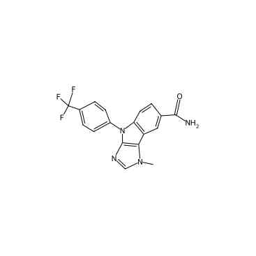 Cn1cnc2c1c1cc(C(N)=O)ccc1n2-c1ccc(C(F)(F)F)cc1